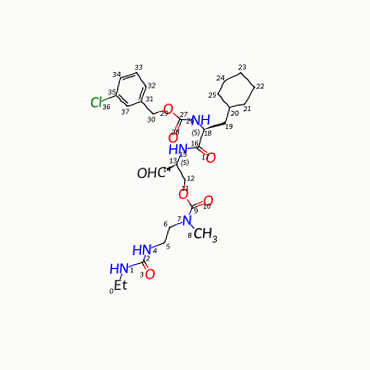 CCNC(=O)NCCN(C)C(=O)OC[C@@H](C=O)NC(=O)[C@H](CC1CCCCC1)NC(=O)OCc1cccc(Cl)c1